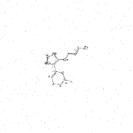 CC/C=C/COc1nsnc1C1=CCCN(C)C1